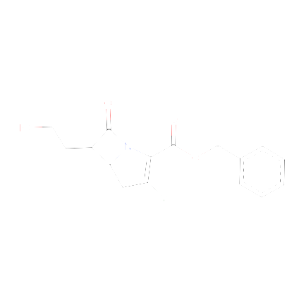 O=C(OCc1ccccc1)C1=C(Cl)CC2C(CCO)C(=O)N12